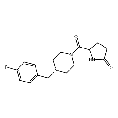 O=C1CCC(C(=O)N2CCN(Cc3ccc(F)cc3)CC2)N1